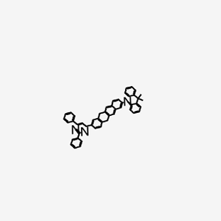 CC1(C)c2ccccc2N(c2ccc3cc4c(cc3c2)Cc2ccc(-c3cc(-c5ccccc5)nc(-c5ccccc5)n3)cc2C4)c2ccccc21